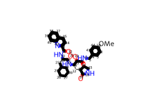 COc1ccc(CNC(=O)C(=O)[C@H](C[C@@H]2CCNC2=O)NC(=O)[C@H](CC2CCCCC2)NC(=O)c2ccc3ccccc3n2)cc1